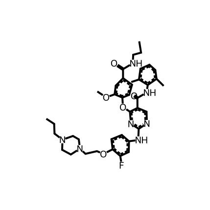 CCCNC(=O)c1ccc(Oc2nc(Nc3ccc(OCCN4CCN(CCC)CC4)c(F)c3)ncc2C(=O)Nc2c(C)cccc2C)c(OC)c1